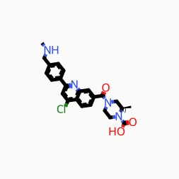 CNCc1ccc(-c2cc(Cl)c3ccc(C(=O)N4CCN(C(=O)O)[C@H](C)C4)cc3n2)cc1